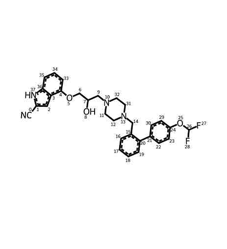 N#Cc1cc2c(OCC(O)CN3CCN(Cc4ccccc4-c4ccc(OC(F)F)cc4)CC3)cccc2[nH]1